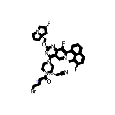 Cc1c(F)ccc2cccc(-c3ncc4c(N5CCN(C(=O)/C=C/CBr)[C@@H](CC#N)C5)nc(OC[C@@]56CCCN5C[C@H](F)C6)nc4c3F)c12